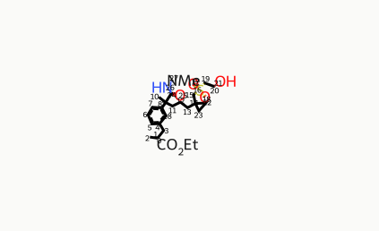 CCOC(=O)C(C)Cc1cccc(C(C)(CCCC2(CS(=O)(=O)CCO)CC2)C(=O)NNC)c1